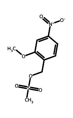 COc1cc([N+](=O)[O-])ccc1COS(C)(=O)=O